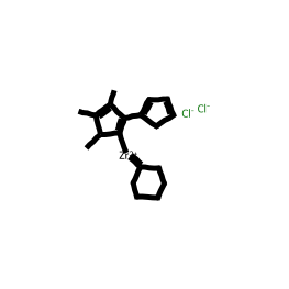 CC1=C(C)C(C)[C]([Zr+2]=[C]2CCCCC2)=C1C1=CC=CC1.[Cl-].[Cl-]